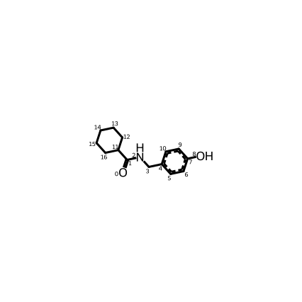 O=C(NCc1ccc(O)cc1)C1CCCCC1